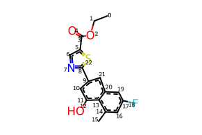 CCOC(=O)c1cnc(-c2cc(O)c3c(C)cc(F)cc3c2)s1